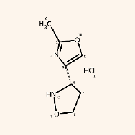 Cc1nc([C@@H]2CCON2)co1.Cl